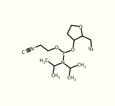 [2H]CC1OCCC1OP(OCC[N+]#[C-])N(C(C)C)C(C)C